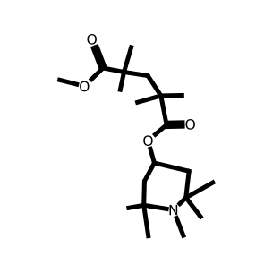 COC(=O)C(C)(C)CC(C)(C)C(=O)OC1CC(C)(C)N(C)C(C)(C)C1